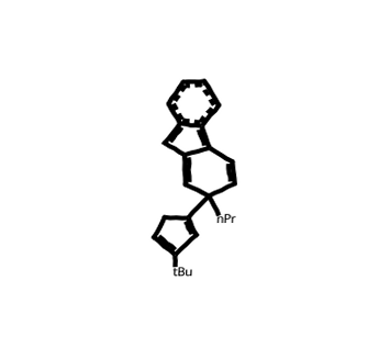 CCCC1(C2=CC(C(C)(C)C)=CC2)C=CC2=c3ccccc3=CC2=C1